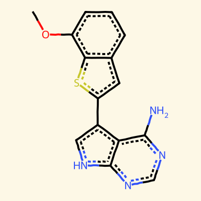 COc1cccc2cc(-c3c[nH]c4ncnc(N)c34)sc12